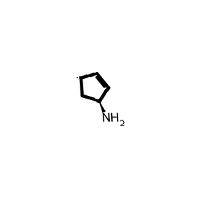 N[C@@H]1C=C[CH]C1